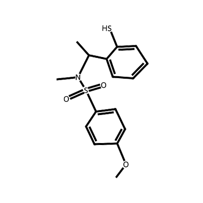 COc1ccc(S(=O)(=O)N(C)C(C)c2ccccc2S)cc1